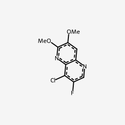 COc1cc2ncc(F)c(Cl)c2nc1OC